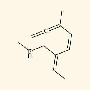 C=C=C(C)/C=C\C(=C/C)CBC